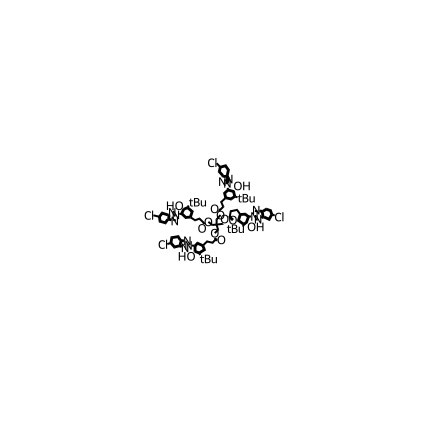 CC(C)(C)c1cc(CCC(=O)OCC(COC(=O)CCc2cc(-n3nc4ccc(Cl)cc4n3)c(O)c(C(C)(C)C)c2)(COC(=O)CCc2cc(-n3nc4ccc(Cl)cc4n3)c(O)c(C(C)(C)C)c2)COC(=O)CCc2cc(-n3nc4ccc(Cl)cc4n3)c(O)c(C(C)(C)C)c2)cc(-n2nc3ccc(Cl)cc3n2)c1O